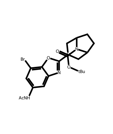 CC(=O)Nc1cc(Br)c2oc(N3CC4CCC(C3)N4C(=O)OC(C)(C)C)nc2c1